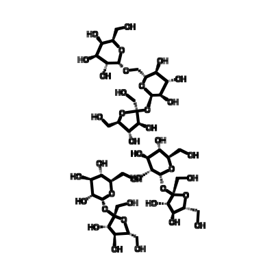 OC[C@H]1O[C@@](CO)(O[C@H]2O[C@H](CO)[C@@H](O)[C@H](O)[C@H]2O)[C@@H](O)[C@@H]1O.OC[C@H]1O[C@@](CO)(O[C@H]2O[C@H](CO)[C@@H](O)[C@H](O)[C@H]2O)[C@@H](O)[C@@H]1O.OC[C@H]1O[C@H](OC[C@H]2O[C@H](O[C@]3(CO)O[C@H](CO)[C@@H](O)[C@@H]3O)[C@H](O)[C@@H](O)[C@@H]2O)[C@H](O)[C@@H](O)[C@H]1O